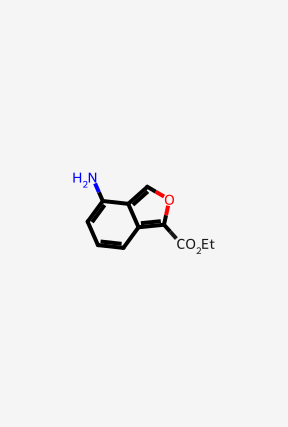 CCOC(=O)c1occ2c(N)cccc12